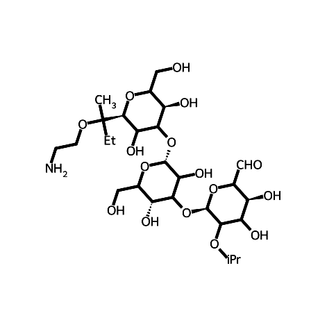 CCC(C)(OCCN)[C@H]1OC(CO)[C@@H](O)C(O[C@H]2OC(CO)[C@@H](O)C(O[C@H]3OC(C=O)[C@@H](O)C(O)C3OC(C)C)C2O)C1O